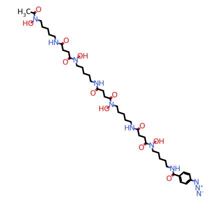 CC(=O)N(O)CCCCCNC(=O)CCC(=O)N(O)CCCCCNC(=O)CCC(=O)N(O)CCCCCNC(=O)CCC(=O)N(O)CCCCCNC(=O)c1ccc(N=[N+]=[N-])cc1